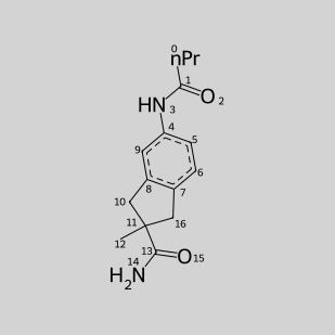 CCCC(=O)Nc1ccc2c(c1)CC(C)(C(N)=O)C2